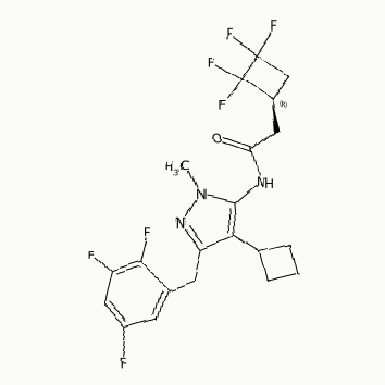 Cn1nc(Cc2cc(F)cc(F)c2F)c(C2CCC2)c1NC(=O)C[C@@H]1CC(F)(F)C1(F)F